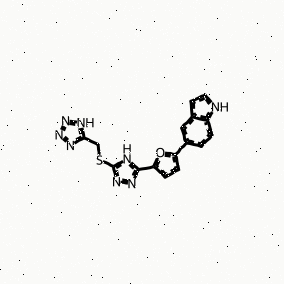 c1cc2cc(-c3ccc(-c4nnc(SCc5nnn[nH]5)[nH]4)o3)ccc2[nH]1